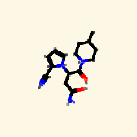 CC1CCN(C(=O)C(CC(N)=O)n2cccc2C#N)CC1